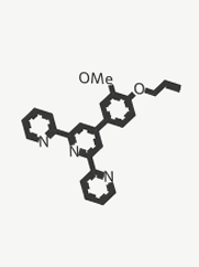 C=CCOc1ccc(-c2cc(-c3ccccn3)nc(-c3ccccn3)c2)cc1OC